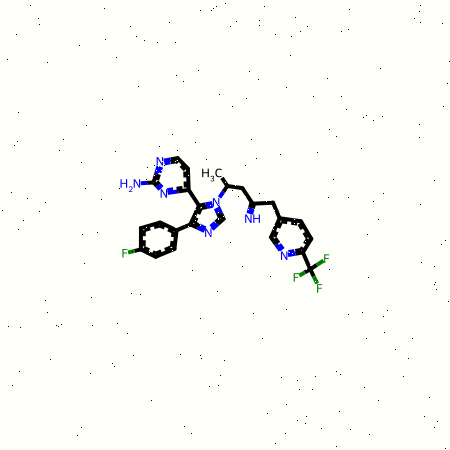 CC(CC(=N)Cc1ccc(C(F)(F)F)nc1)n1cnc(-c2ccc(F)cc2)c1-c1ccnc(N)n1